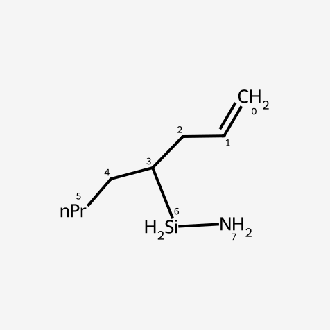 C=CCC(CCCC)[SiH2]N